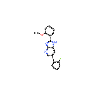 COc1ccccc1-c1nc2ncc(-c3ccccc3F)cc2[nH]1